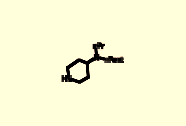 CCCCCN(CCC)C1CCNCC1